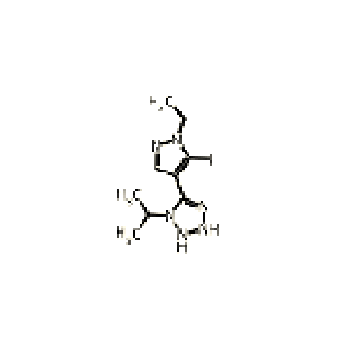 CCn1ncc(C2=NNNN2C(C)C)c1I